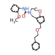 COc1ccccc1NC(=O)N1CCOc2ccc(COCCc3ccccc3)cc2C1